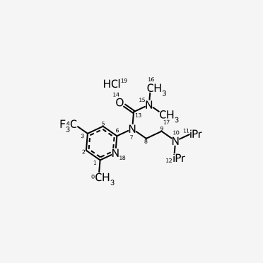 Cc1cc(C(F)(F)F)cc(N(CCN(C(C)C)C(C)C)C(=O)N(C)C)n1.Cl